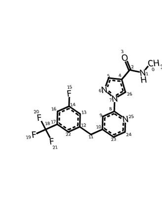 CNC(=O)c1cnn(-c2cc(Cc3cc(F)cc(C(F)(F)F)c3)ccn2)c1